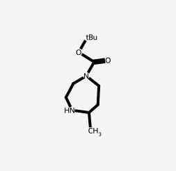 CC1CCN(C(=O)OC(C)(C)C)CCN1